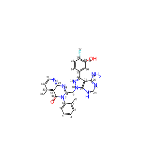 Cc1ccccc1-n1c(Cn2nc(-c3ccc(F)c(O)c3)c3c2NCN=C3N)nc2nccc(C)c2c1=O